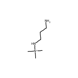 C[N+](C)(C)NCCCN